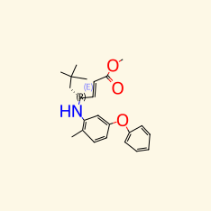 COC(=O)/C=C/[C@@H](CC(C)(C)C)Nc1cc(Oc2ccccc2)ccc1C